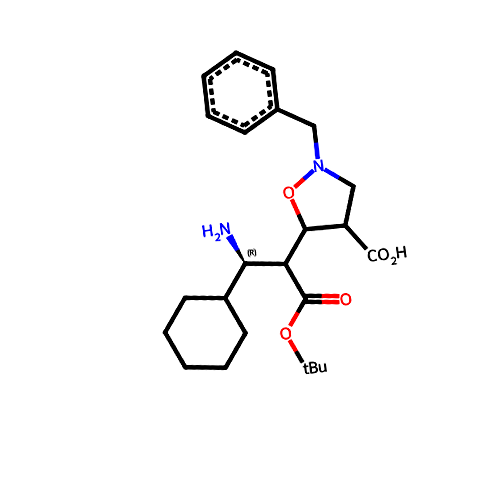 CC(C)(C)OC(=O)C(C1ON(Cc2ccccc2)CC1C(=O)O)[C@H](N)C1CCCCC1